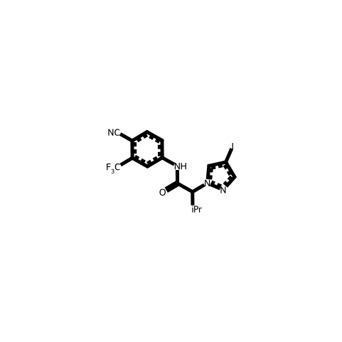 CC(C)C(C(=O)Nc1ccc(C#N)c(C(F)(F)F)c1)n1cc(I)cn1